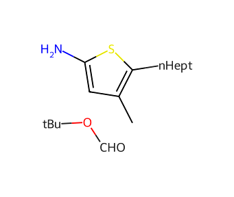 CC(C)(C)OC=O.CCCCCCCc1sc(N)cc1C